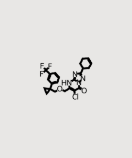 O=c1c(Cl)c(COCC2(c3cccc(C(F)(F)F)c3)CC2)[nH]c2nc(C3CC=CCC3)nn12